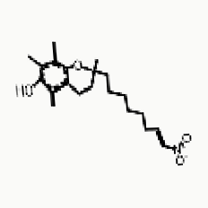 Cc1c(C)c2c(c(C)c1O)CCC(C)(CCCCCCC=C[N+](=O)[O-])O2